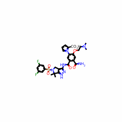 CN(C)CCOc1cc(C(N)=O)c(C(=O)Nc2n[nH]c3c2CN(S(=O)(=O)c2cc(F)cc(F)c2)C3(C)C)cc1-n1cccc1C(=O)O